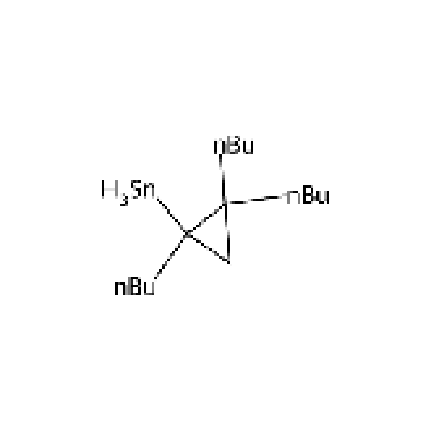 CCCC[C]1([SnH3])CC1(CCCC)CCCC